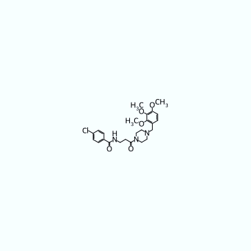 COc1ccc(CN2CCN(C(=O)CCNC(=O)c3ccc(Cl)cc3)CC2)c(OC)c1OC